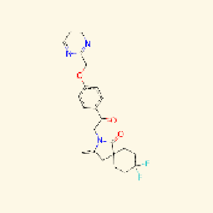 C=C1CC2(CCC(F)(F)CC2)C(=O)N1CC(=O)c1ccc(OCC2=NCCC=N2)cc1